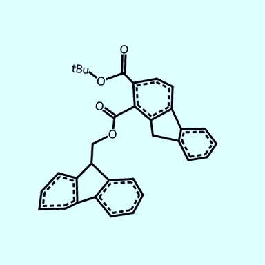 CC(C)(C)OC(=O)c1ccc2c(c1C(=O)OCC1c3ccccc3-c3ccccc31)Cc1ccccc1-2